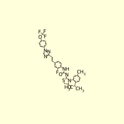 Cc1ccc(C(C)C)c(N2C(=O)CSC2=NC(=O)Nc2ccc(C=Cc3ncn(-c4ccc(OC(F)(F)F)cc4)n3)cc2F)c1